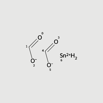 O=C[O-].O=C[O-].[SnH2+2]